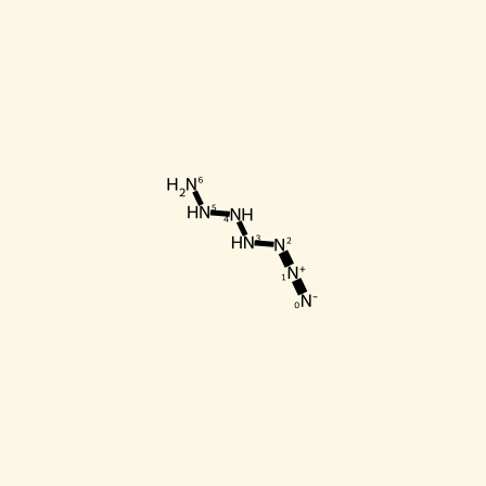 [N-]=[N+]=NNNNN